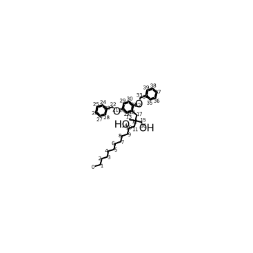 CCCCCCCCCCCCC(CO)(CO)Cc1cc(OCc2ccccc2)ccc1OCc1ccccc1